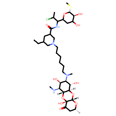 CCC1CC(C(=O)NC(C(C)Cl)C2CC(O)[C@H](O)[C@@H](SC)O2)CN(CCCCCCN(C)[C@@H]2[C@H](O)[C@H](NC)[C@H]3O[C@@]4(O)C(=O)C[C@@H](C)O[C@H]4O[C@@H]3[C@H]2O)C1